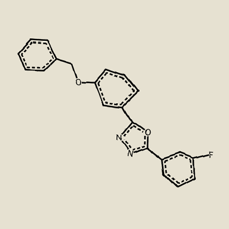 Fc1cccc(-c2nnc(-c3cccc(OCc4ccccc4)c3)o2)c1